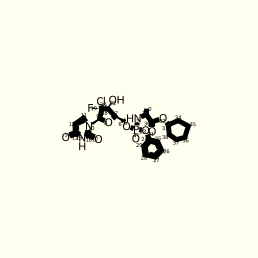 CC(NP(=O)(OC[C@H]1O[C@@H](n2ccc(=O)[nH]c2=O)[C@@](F)(Cl)[C@@H]1O)Oc1ccccc1)C(=O)OC1CCCCC1